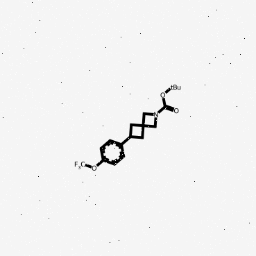 CC(C)(C)OC(=O)N1CC2(CC(c3ccc(OC(F)(F)F)cc3)C2)C1